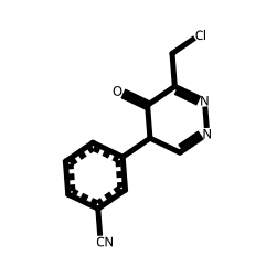 N#Cc1cccc(C2C=NN=C(CCl)C2=O)c1